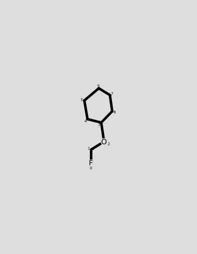 F[CH]OC1CCCCC1